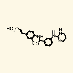 O=C(O)C=Cc1ccc(NC(=O)c2cccc(NC3=NCCCN3)c2)c(Cl)c1